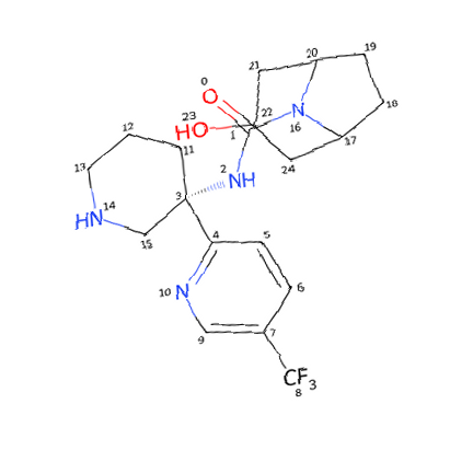 O=C(N[C@@]1(c2ccc(C(F)(F)F)cn2)CCCNC1)N1C2CCC1CC(O)C2